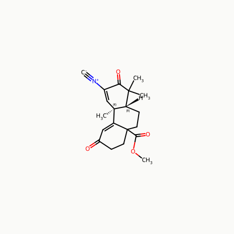 [C-]#[N+]C1=C[C@]2(C)C3=CC(=O)CCC3(C(=O)OC)CC[C@H]2C(C)(C)C1=O